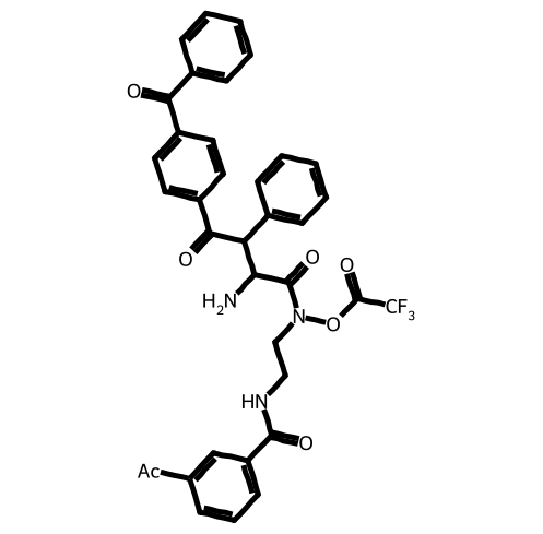 CC(=O)c1cccc(C(=O)NCCN(OC(=O)C(F)(F)F)C(=O)C(N)C(C(=O)c2ccc(C(=O)c3ccccc3)cc2)c2ccccc2)c1